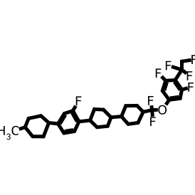 CC1CCC(c2ccc(C3CCC(C4CCC(C(F)(F)Oc5cc(F)c(C(F)(F)CF)c(F)c5)CC4)CC3)c(F)c2)CC1